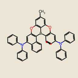 Cc1cc2c3c(c1)Oc1cc(N(c4ccccc4)c4ccccc4)c4ccccc4c1B3c1c(cc(N(c3ccccc3)c3ccccc3)c3ccccc13)O2